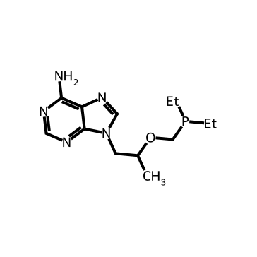 CCP(CC)COC(C)Cn1cnc2c(N)ncnc21